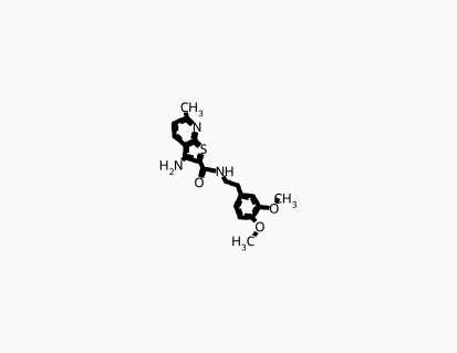 COc1ccc(CCNC(=O)c2sc3nc(C)ccc3c2N)cc1OC